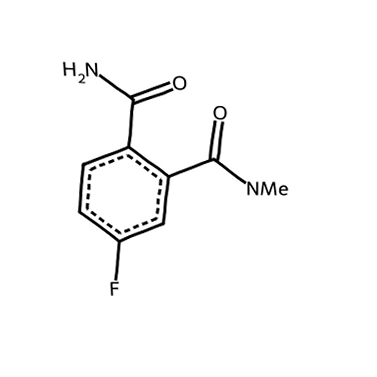 CNC(=O)c1cc(F)ccc1C(N)=O